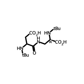 CC(C)(C)NC(CC(=O)O)C(=O)NC[C@@H](NC(C)(C)C)C(=O)O